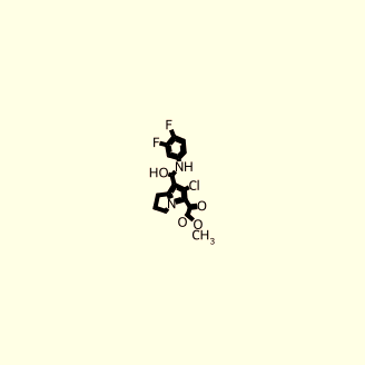 COC(=O)C(=O)c1c(Cl)c(C(O)Nc2ccc(F)c(F)c2)c2n1CCC2